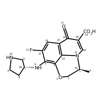 C[C@H]1COc2c(N[C@@H]3CCNC3)c(F)cc3c(=O)c(C(=O)O)cn1c23